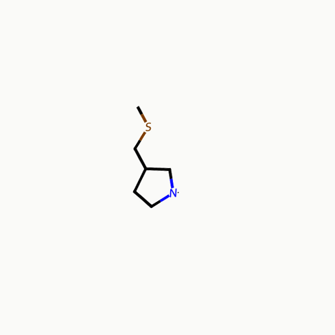 CSCC1CC[N]C1